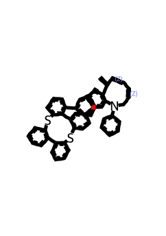 C=C1/C=C\C=C/CN(c2ccccc2)c2cc(-c3ccc4c(c3)-c3c(cccc3-c3ccccc3)Sc3ccccc3-c3ccccc3S4)ccc21